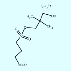 CCOC(=O)[C@H](O)C(C)(C)COS(=O)(=O)CCCNC(C)=O